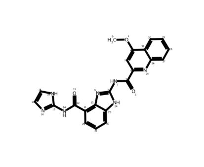 COc1cc(C(=O)Nc2nc3c(C(=O)Nc4ncc[nH]4)cccc3[nH]2)nc2ccccc12